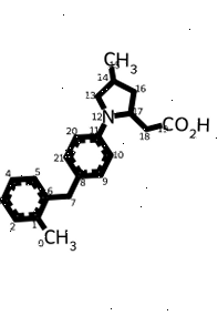 Cc1ccccc1Cc1ccc(N2CC(C)CC2CC(=O)O)cc1